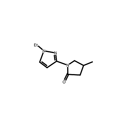 CCn1ccc(N2CC(C)CC2=O)n1